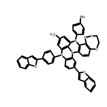 Cc1cc2c3c(c1)N(c1ccc(C(C)(C)C)cc1)c1c(ccc4c1OCCCO4)B3c1cc(-c3cc4ccccc4o3)ccc1N2c1ccc(-c2cc3ccccc3o2)cc1